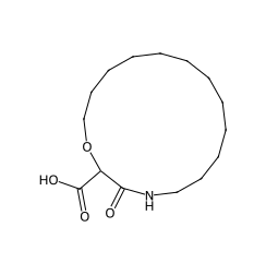 O=C(O)C1OCCCCCCCCCCCCNC1=O